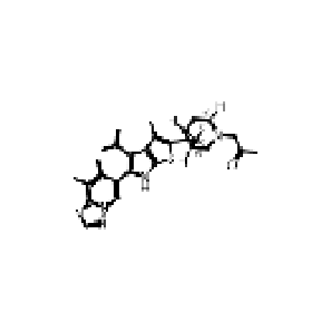 CC(=O)CN1C[C@@H]2CC[C@H]1C[C@H]2c1sc2[nH]c(-c3cn4ncnc4c(C)c3C)c(C(C)C)c2c1C